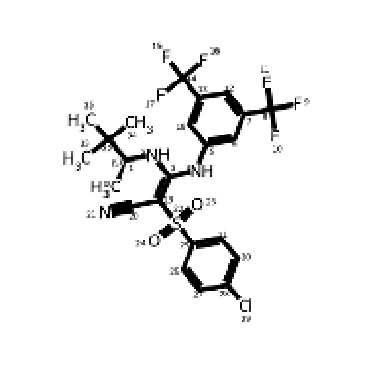 C[C@H](NC(Nc1cc(C(F)(F)F)cc(C(F)(F)F)c1)=C(C#N)S(=O)(=O)c1ccc(Cl)cc1)C(C)(C)C